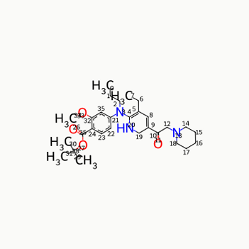 CCCN(C1=C(CC)C=C(C(=O)CN2CCCCC2)CN1)c1ccc(C(=O)OC(C)(C)C)c(OC)c1